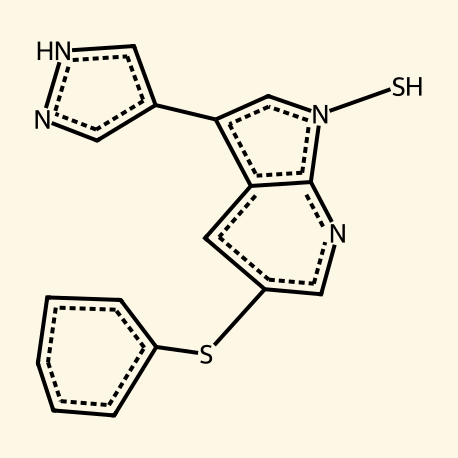 Sn1cc(-c2cn[nH]c2)c2cc(Sc3ccccc3)cnc21